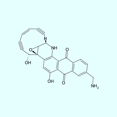 NCc1ccc2c(c1)C(=O)c1c(O)cc3c(c1C2=O)N[C@H]1C#C/C=C\C#C[C@@H](O)[C@@]32OC12